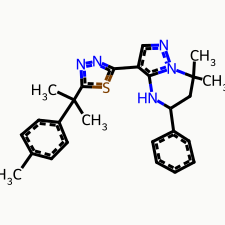 Cc1ccc(C(C)(C)c2nnc(-c3cnn4c3NC(c3ccccc3)CC4(C)C)s2)cc1